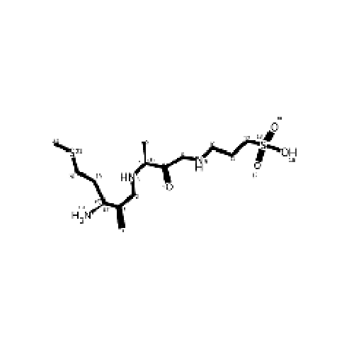 C=C(CN[C@@H](C)C(=O)CNCCCS(=O)(=O)O)[C@@H](N)CCSC